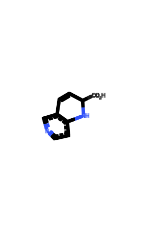 O=C(O)C1C=Cc2cnccc2N1